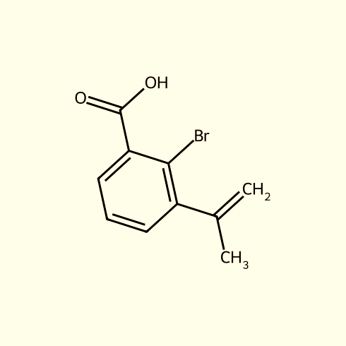 C=C(C)c1cccc(C(=O)O)c1Br